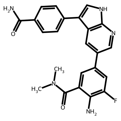 CN(C)C(=O)c1cc(-c2cnc3[nH]cc(-c4ccc(C(N)=O)cc4)c3c2)cc(F)c1N